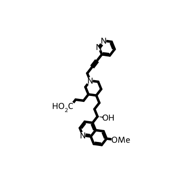 COc1ccc2nccc([C@@H](O)CCC3CCN(CC#Cc4cccnn4)CC3CCC(=O)O)c2c1